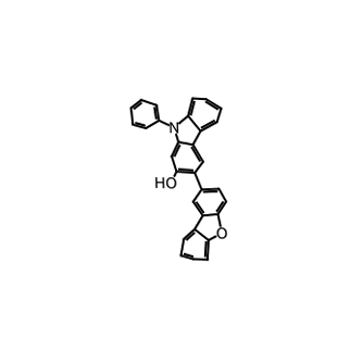 Oc1cc2c(cc1-c1ccc3oc4ccccc4c3c1)c1ccccc1n2-c1ccccc1